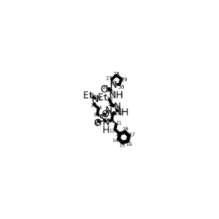 CCN(CC)CCCS(=O)(=O)N[C@H](CCc1ccccc1)c1nc(CNC(=O)N2CCCC2)n[nH]1